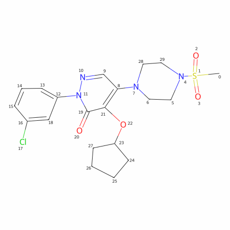 CS(=O)(=O)N1CCN(c2cnn(-c3cccc(Cl)c3)c(=O)c2OC2CCCC2)CC1